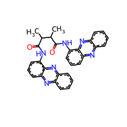 CC(C(=O)Nc1cccc2nc3ccccc3nc12)C(C)C(=O)Nc1cccc2nc3ccccc3nc12